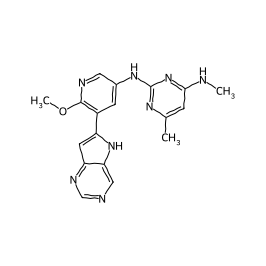 CNc1cc(C)nc(Nc2cnc(OC)c(-c3cc4ncncc4[nH]3)c2)n1